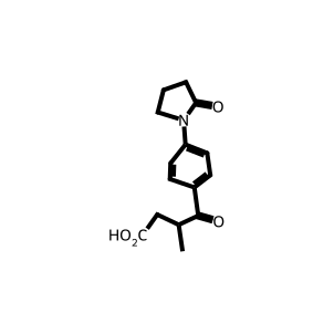 CC(CC(=O)O)C(=O)c1ccc(N2CCCC2=O)cc1